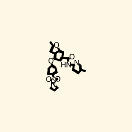 Cc1ccc(NC(=O)c2cc(Oc3ccc(S(=O)(=O)N4CCC4)cc3)c3cc(C)oc3c2)nc1